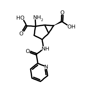 NC1(C(=O)O)CC(NC(=O)c2ccccn2)C2C1[C@H]2C(=O)O